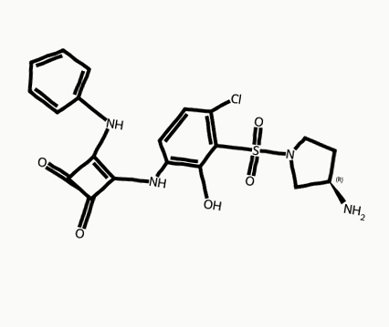 N[C@@H]1CCN(S(=O)(=O)c2c(Cl)ccc(Nc3c(Nc4ccccc4)c(=O)c3=O)c2O)C1